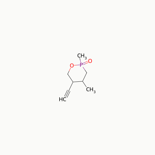 C#CC1COP(C)(=O)CC1C